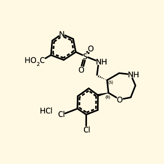 Cl.O=C(O)c1cncc(S(=O)(=O)NC[C@@H]2CNCCO[C@H]2c2ccc(Cl)c(Cl)c2)c1